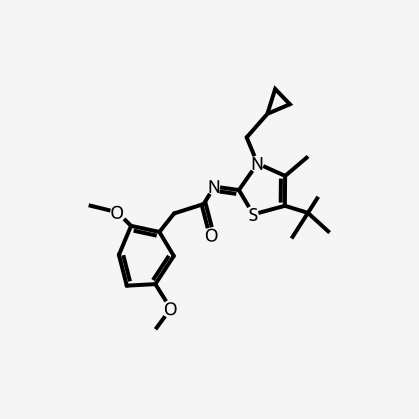 COc1ccc(OC)c(CC(=O)/N=c2\sc(C(C)(C)C)c(C)n2CC2CC2)c1